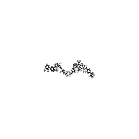 Cc1ncsc1-c1ccc([C@H](C)NC(=O)[C@@H]2C[C@@H](O)CN2C(=O)[C@@H](c2cc(N3CCC(CN4CCC(O[C@H]5C[C@H](C#C[C@@H](C)n6cc(-c7cc(-c8ccccc8O)nnc7N)cn6)C5)CC4)CC3)no2)C(C)C)cc1